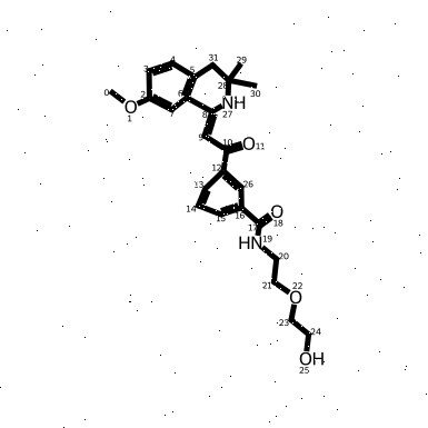 COc1ccc2c(c1)C(=CC(=O)c1cccc(C(=O)NCCOCCO)c1)NC(C)(C)C2